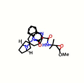 COC1OC1C(C)(C)NC(=O)c1nc2ccccc2n([C@H]2C[C@H]3CC[C@@H](C2)N3C2CCCCCCC2)c1=O